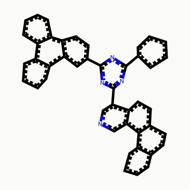 c1ccc(-c2nc(-c3ccc4c5ccccc5c5ccccc5c4c3)nc(-c3cncc4c3ccc3ccc5ccccc5c34)n2)cc1